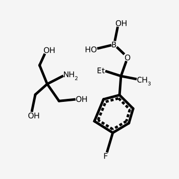 CCC(C)(OB(O)O)c1ccc(F)cc1.NC(CO)(CO)CO